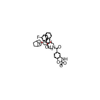 Cc1nc2ccccc2n1C1CC2CCC(C1)N2CCC1(c2cccc(F)c2)CCN(C(=O)c2ccc3c(c2)NS(=O)(=O)O3)CC1